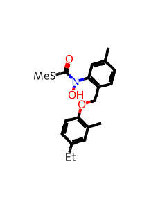 CCc1ccc(OCc2ccc(C)cc2N(O)C(=O)SC)c(C)c1